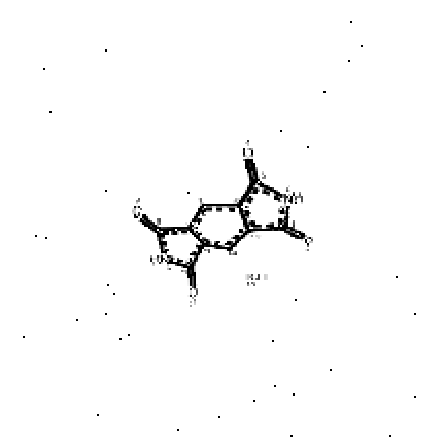 O=c1[nH]c(=O)c2cc3c(=O)[nH]c(=O)c3cc12.[KH]